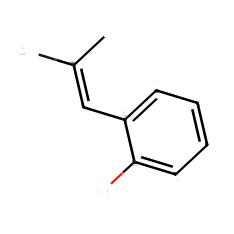 CC(=O)/C(C)=C/c1ccccc1O